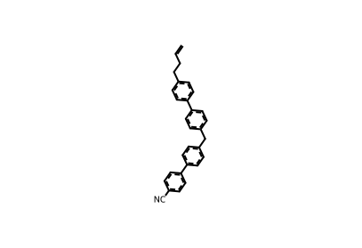 C=CCCc1ccc(-c2ccc(Cc3ccc(-c4ccc(C#N)cc4)cc3)cc2)cc1